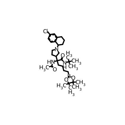 CC(=O)NC(CCCCB1OC(C)(C)C(C)(C)O1)(C(=O)NC(C)(C)C)C1CCN(C2CCCc3cc(Cl)ccc32)C1